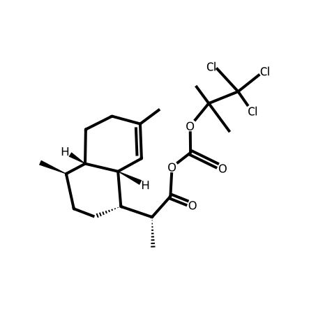 CC1=C[C@H]2[C@@H](CC1)[C@H](C)CC[C@H]2[C@@H](C)C(=O)OC(=O)OC(C)(C)C(Cl)(Cl)Cl